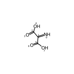 N=C(C(=O)O)C(=O)O